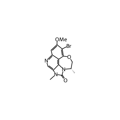 COc1cc2ncc3c4c2c(c1Br)OC[C@H](C)n4c(=O)n3C